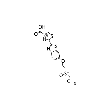 CC[S+]([O-])CCOC1=CCC2N=C(C3=N[C@@H](C(=O)O)CS3)SC2=C1